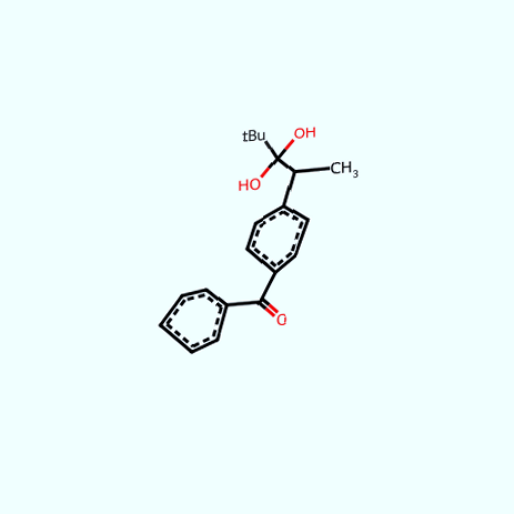 CC(c1ccc(C(=O)c2ccccc2)cc1)C(O)(O)C(C)(C)C